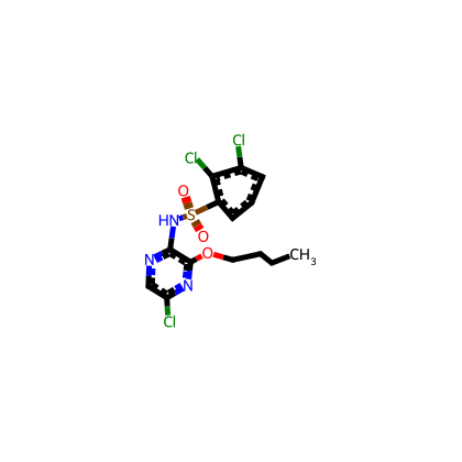 CCCCOc1nc(Cl)cnc1NS(=O)(=O)c1cccc(Cl)c1Cl